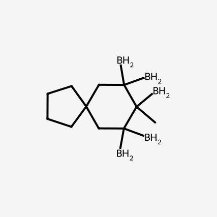 BC1(B)CC2(CCCC2)CC(B)(B)C1(B)C